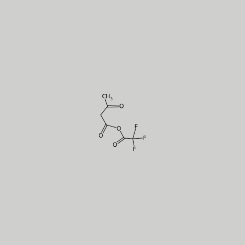 CC(=O)CC(=O)OC(=O)C(F)(F)F